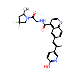 C/C(=C\c1ccc2nccc(C(=O)NCC(=O)N3CC(F)(F)CC3C#N)c2c1)c1ccc(O)nc1